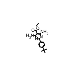 CCOC(=O)c1c(N)nc(-c2ccc(C(C)(C)C)cc2)nc1N